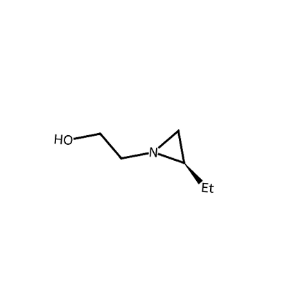 CC[C@@H]1CN1CCO